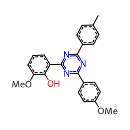 COc1ccc(-c2nc(-c3ccc(C)cc3)nc(-c3cccc(OC)c3O)n2)cc1